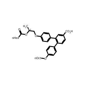 CCCCCCCCOc1ccc(-c2ccc(C(=O)O)cc2-c2ccc(OC[C@H](C)OC(=O)CCCCCC)cc2)cc1